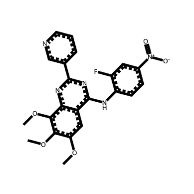 COc1cc2c(Nc3ccc([N+](=O)[O-])cc3F)nc(-c3cccnc3)nc2c(OC)c1OC